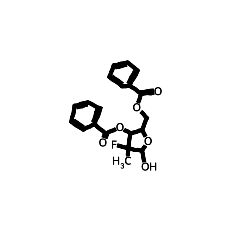 CC1(F)C(O)OC(COC(=O)c2ccccc2)C1OC(=O)c1ccccc1